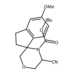 COc1ccc2c(c1)CCC21COCC(C#N)N1C(=O)OC(C)(C)C